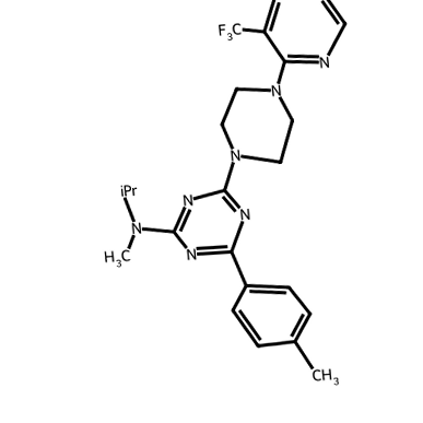 Cc1ccc(-c2nc(N3CCN(c4ncccc4C(F)(F)F)CC3)nc(N(C)C(C)C)n2)cc1